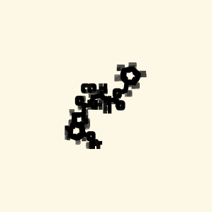 CC(C)Oc1ccnc2cc(C(=O)NCC(NC(=O)OCc3ccccc3)C(=O)O)sc12